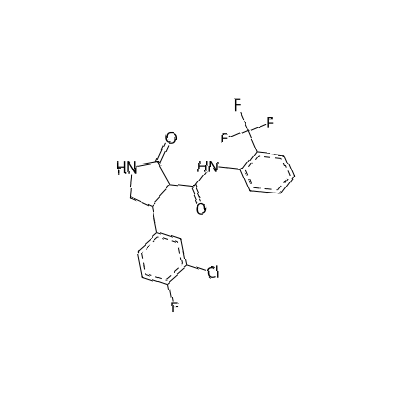 O=C1NCC(c2ccc(F)c(Cl)c2)C1C(=O)Nc1ccccc1C(F)(F)F